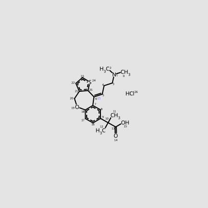 CN(C)CC/C=C1/c2cc(C(C)(C)C(=O)O)ccc2OCc2ccsc21.Cl